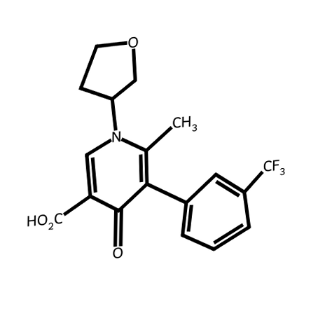 Cc1c(-c2cccc(C(F)(F)F)c2)c(=O)c(C(=O)O)cn1C1CCOC1